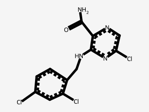 NC(=O)c1ncc(Cl)nc1NCc1ccc(Cl)cc1Cl